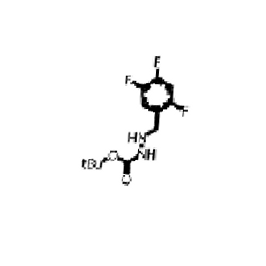 CC(C)(C)OC(=O)NNCc1cc(F)c(F)cc1F